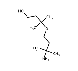 CC(C)(N)CCOC(C)(C)CCO